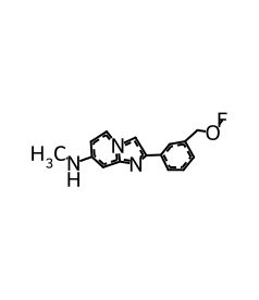 CNc1ccn2cc(-c3cccc(COF)c3)nc2c1